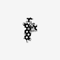 C/C=C(/C)C(=O)O[C@H]1[C@H](O)[C@@]2(COC(=O)C(C)CC)C(CC1(C)C)C1=CCC3[C@@]4(C)CC[C@H](C)C(C)(C)C4CC[C@@]3(C)[C@]1(C)[C@@H](O)[C@H]2O